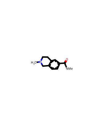 CNC(=O)c1ccc2c(c1)CCN(C)C2